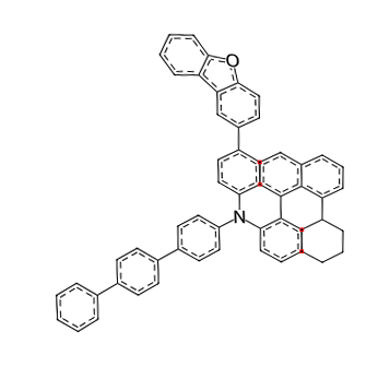 c1ccc(-c2ccc(-c3ccc(N(c4ccc(-c5ccc6oc7ccccc7c6c5)cc4)c4ccccc4-c4cccc5cccc(C6CCCCC6)c45)cc3)cc2)cc1